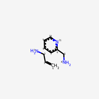 C=CCN.NCc1ccccn1